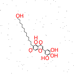 COc1cc2oc(-c3cc(O)c(O)c(O)c3)cc(=O)c2c(O)c1CCCCCCCCCCCCCO